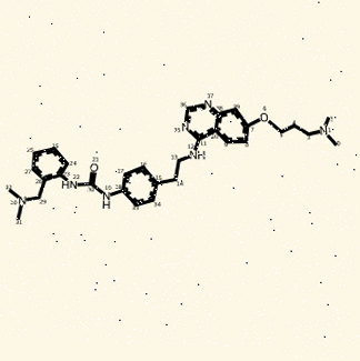 CN(C)CCCOc1ccc2c(NCCc3ccc(NC(=O)Nc4ccccc4CN(C)C)cc3)ncnc2c1